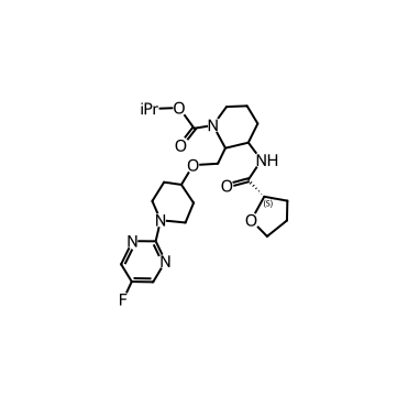 CC(C)OC(=O)N1CCCC(NC(=O)[C@@H]2CCCO2)C1COC1CCN(c2ncc(F)cn2)CC1